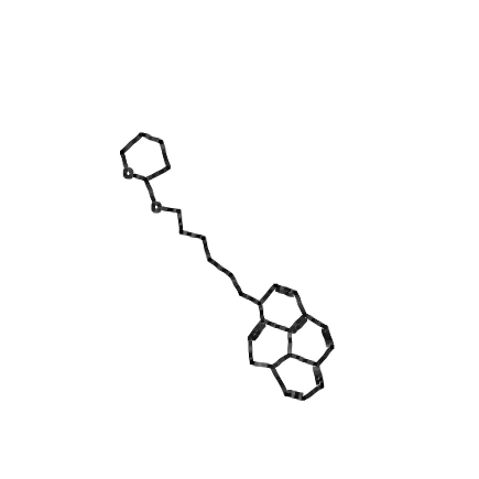 C1=CC2CC=C3C4=C(C=CC(=C1)C42)C=CC3CCCCCCOC1CCCCO1